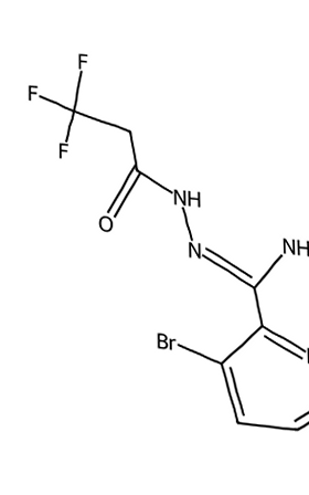 N/C(=N\NC(=O)CC(F)(F)F)c1ncccc1Br